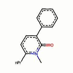 CCCc1ccc(-c2ccccc2)c(=O)n1C